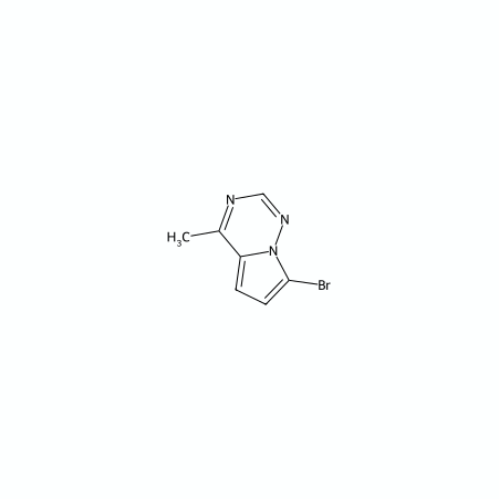 Cc1ncnn2c(Br)ccc12